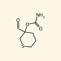 NC(=O)OC1(C=O)CCCSC1